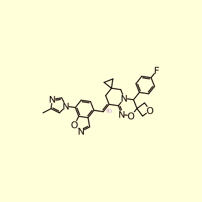 Cc1cn(-c2ccc(/C=C3\CC4(CC4)CN4C3=NOC3(COC3)C4c3ccc(F)cc3)c3cnoc23)cn1